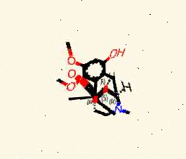 COc1cc(O)c2c(c1OC)[C@]13CCN(C)[C@H](C2)[C@@H]1CCC(=O)[C@H]3C